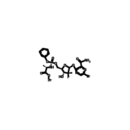 CC(C)OC(=O)[C@H](C)N[P@](=O)(OC[C@H]1O[C@@H](Oc2ncc(Br)nc2C(N)=O)[C@](C)(F)[C@@H]1O)Oc1ccccc1